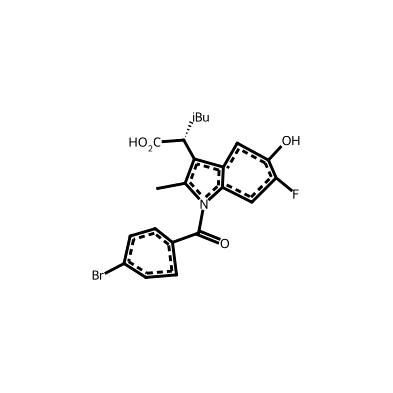 CCC(C)[C@@H](C(=O)O)c1c(C)n(C(=O)c2ccc(Br)cc2)c2cc(F)c(O)cc12